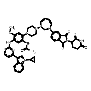 COc1cc(N2CCN(N3C=CC=CN(c4ccc5c(c4)C(=O)N(C4CCC(=O)NC4=O)C5=O)C3)CC2)c(NC(C)=O)cc1Nc1nccc(-c2cn(C3CC3)c3ccccc23)n1